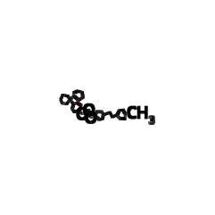 Cc1ccc(CCc2ccc(OC(=O)Oc3ccc(C4(c5ccccc5)CCCCC4)cc3)cc2)cc1